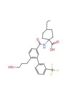 CCC1CCC(NC(=O)c2ccc(CCCO)c(-c3cccc(C(F)(F)F)c3)c2)(C(=O)O)CC1